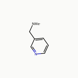 C[N]Cc1cccnc1